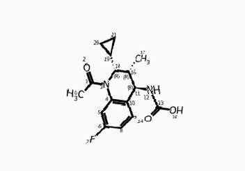 CC(=O)N1c2cc(F)ccc2[C@H](NC(=O)O)[C@@H](C)[C@H]1C1CC1